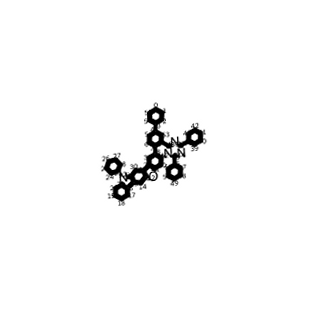 c1ccc(-c2ccc(-c3ccc4oc5cc6c7ccccc7n(-c7ccccc7)c6cc5c4c3)c(-c3nc(-c4ccccc4)nc(-c4ccccc4)n3)c2)cc1